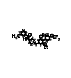 CCOc1cc(CN2CCC(NC(=O)c3cncc(C)c3)CC2)cc(OCC)c1-c1ccc(OC(F)(F)F)cc1